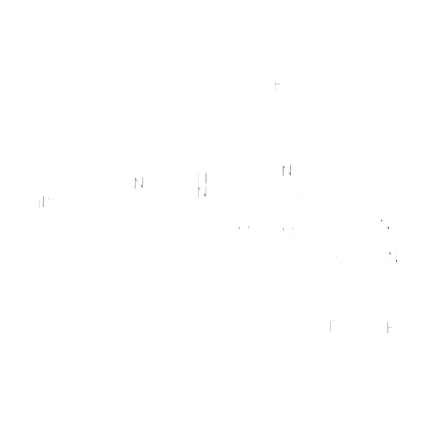 Cc1nc(C(NC(=O)C2CC(F)CN2C(=O)Cc2nnc(C(F)F)o2)c2ccccc2)ccc1C(C)C